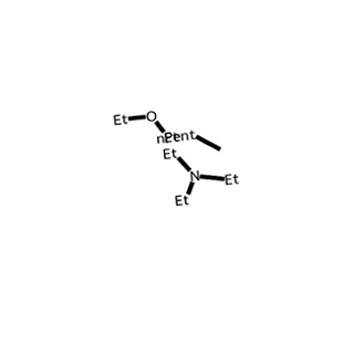 CCCCCC.CCN(CC)CC.CCOCC